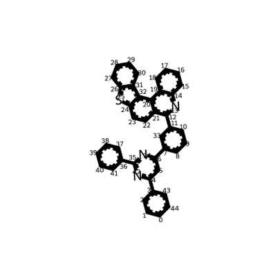 c1ccc(-c2cc(-c3cccc(-c4nc5ccccc5c5c4ccc4sc6ccccc6c45)c3)nc(-c3ccccc3)n2)cc1